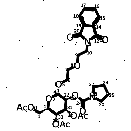 CC(=O)OC[C@H]1O[C@H](OCCOCCN2C(=O)c3ccccc3C2=O)[C@@H](OC(=O)N2CCCC2)[C@@H](OC(C)=O)[C@@H]1OC(C)=O